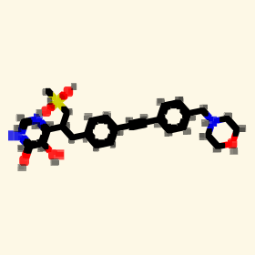 CS(=O)(=O)CC(Cc1ccc(C#Cc2ccc(CN3CCOCC3)cc2)cc1)c1nc[nH]c(=O)c1O